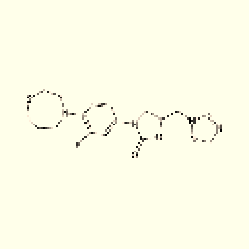 O=C1OC(CN2C=NCN2)CN1c1ccc(N2CCCSCC2)c(F)c1